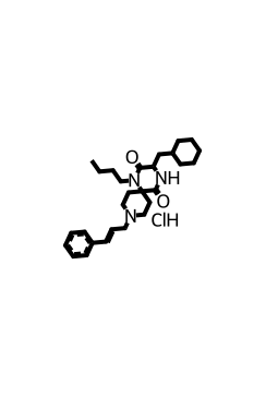 CCCCN1C(=O)C(CC2CCCCC2)NC(=O)C12CCN(CC=Cc1ccccc1)CC2.Cl